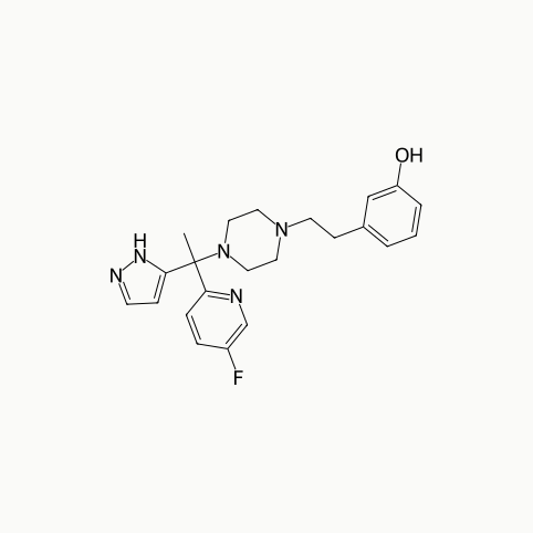 CC(c1ccc(F)cn1)(c1ccn[nH]1)N1CCN(CCc2cccc(O)c2)CC1